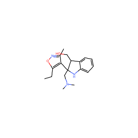 CCc1onc(C)c1C1(CN(C)C)Nc2ccccc2C1CO